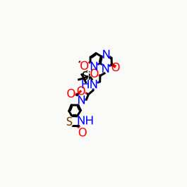 COc1ccc2ncc(=O)n(CC(CNCC3CN(c4ccc5c(c4)NC(=O)CS5)C(=O)O3)O[Si](C)(C)C(C)(C)C)c2n1